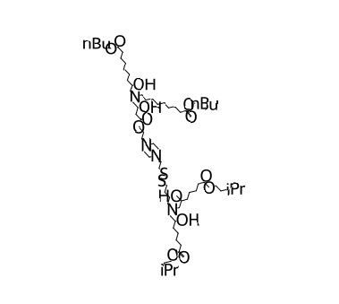 CCCCOC(=O)CCCCCCC(O)CN(CCCC(=O)OCCN1CCN(CCSSCCCCN(CC(O)CCCCC(=O)OCCC(C)C)CC(O)CCCCC(=O)OCCC(C)C)CC1)CC(O)CCCCCCC(=O)OCCCC